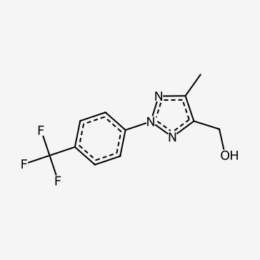 Cc1nn(-c2ccc(C(F)(F)F)cc2)nc1CO